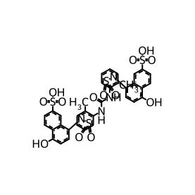 Cc1c2ccc(c1NC(=O)Nc1c3ccc(c1C)N(c1ccc(O)c4ccc(S(=O)(=O)O)cc14)S3(=O)=O)S(=O)(=O)N2c1ccc(O)c2ccc(S(=O)(=O)O)cc12